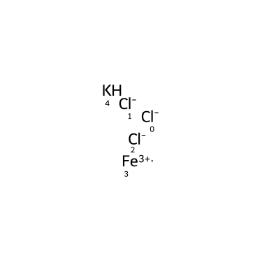 [Cl-].[Cl-].[Cl-].[Fe+3].[KH]